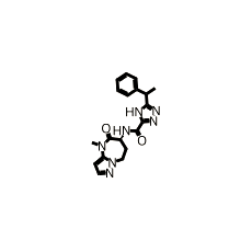 CC(c1ccccc1)c1nnc(C(=O)N[C@H]2CCn3nccc3N(C)C2=O)[nH]1